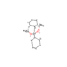 CCCCO[Si](OCCCC)(C1CCCCC1)C1CCCCC1